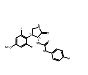 COc1cc(F)c([C@H]2CNC(=O)[C@@H]2NC(=O)Nc2ccc(F)cc2)c(F)c1